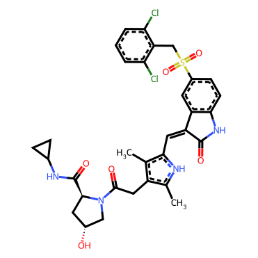 Cc1[nH]c(/C=C2\C(=O)Nc3ccc(S(=O)(=O)Cc4c(Cl)cccc4Cl)cc32)c(C)c1CC(=O)N1C[C@H](O)C[C@H]1C(=O)NC1CC1